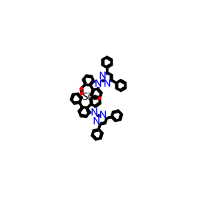 c1ccc(-c2cc(-c3ccccc3)nc(-n3c4cccc5c4c4c(cccc43)[Si]3(c4ccccc4-5)c4ccccc4-c4cccc5c4c4c3cccc4n5-c3nc(-c4ccccc4)cc(-c4ccccc4)n3)n2)cc1